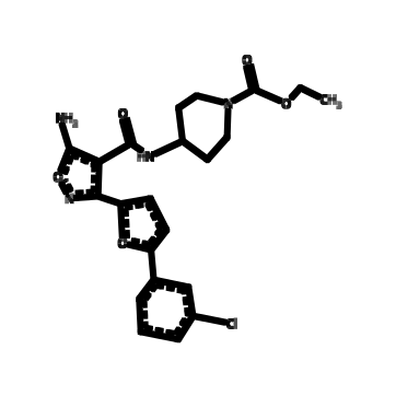 CCOC(=O)N1CCC(NC(=O)c2c(-c3ccc(-c4cccc(Cl)c4)o3)noc2N)CC1